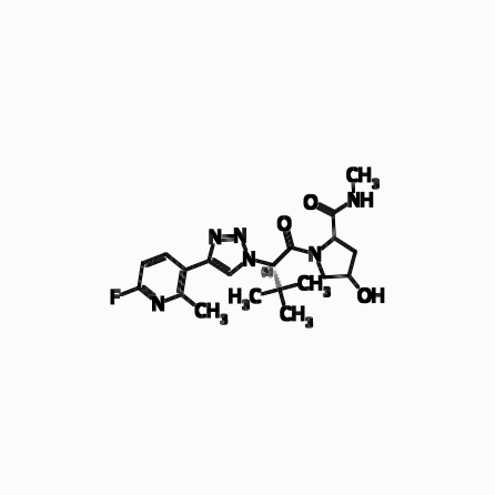 CNC(=O)C1CC(O)CN1C(=O)[C@@H](n1cc(-c2ccc(F)nc2C)nn1)C(C)(C)C